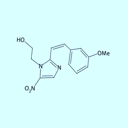 COc1cccc(/C=C\c2ncc([N+](=O)[O-])n2CCO)c1